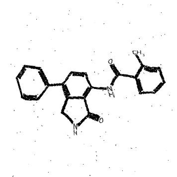 Cc1ccccc1C(=O)Nc1ccc(-c2ccccc2)c2c1C(=O)NC2